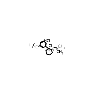 COc1cccc([C@]2(Cl)CCCC[C@H]2CN(C)C)c1.Cl